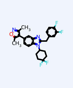 Cc1noc(C)c1-c1ccc2c(c1)nc(Cc1ccc(F)c(F)c1)n2C1CCC(F)(F)CC1